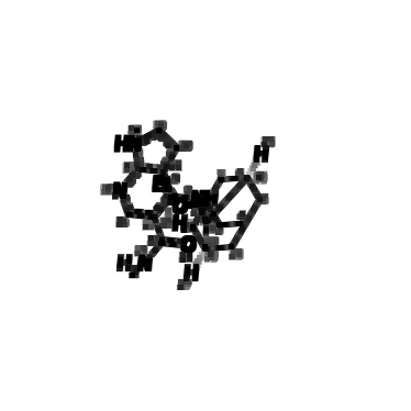 CCO[C@]12CC3C[C@H](C1)[C@H](Nc1c(C(N)=O)cnc4[nH]ccc14)[C@@H](C3)C2